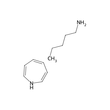 C1=CC=CNC=C1.CCCCCN